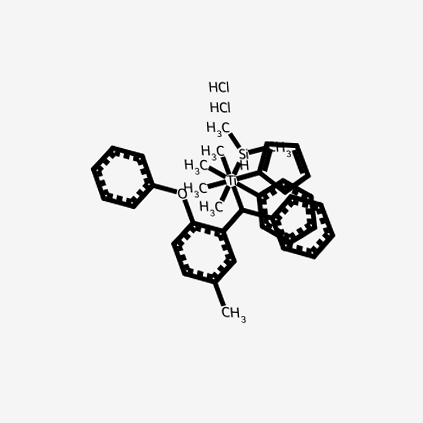 Cc1ccc(Oc2ccccc2)c([CH](c2ccccc2)[Ti]([CH3])([CH3])([CH3])([CH3])([C]2=CC=CC2)([c]2ccccc2)[SiH](C)C)c1.Cl.Cl